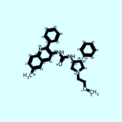 COCCN1C[C@@H](NC(=O)Nc2cc3cc(C)ccc3nc2-c2ccccc2)[C@H](c2ccccc2)C1